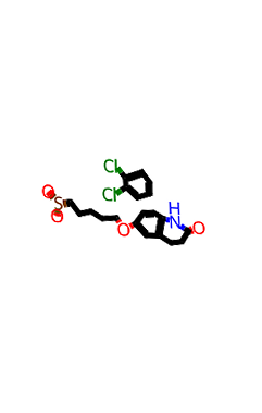 Clc1ccccc1Cl.O=C1CCc2cc(OCCCCC=S(=O)=O)ccc2N1